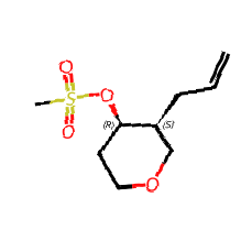 C=CC[C@H]1COCC[C@H]1OS(C)(=O)=O